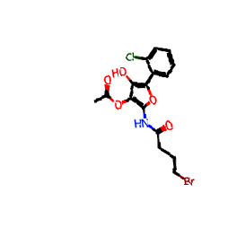 CC(=O)Oc1c(NC(=O)CCCBr)oc(-c2ccccc2Cl)c1O